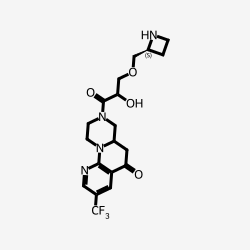 O=C1CC2CN(C(=O)C(O)COC[C@@H]3CCN3)CCN2c2ncc(C(F)(F)F)cc21